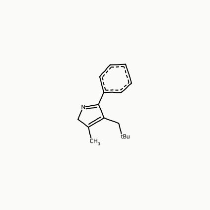 CC1=C(CC(C)(C)C)C(c2ccccc2)=NC1